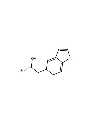 CCC[C@H](O)CC1C=c2ccoc2=CC1